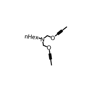 CC#COCN(CCCCCC)COC#CC